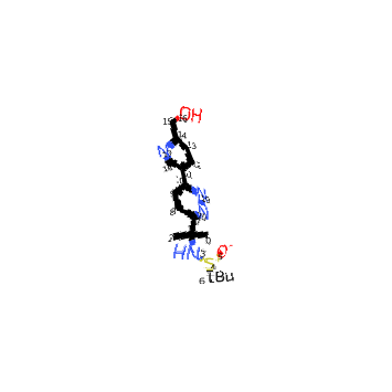 CC(C)(N[S+]([O-])C(C)(C)C)c1ccc(-c2ccc(CO)nc2)nn1